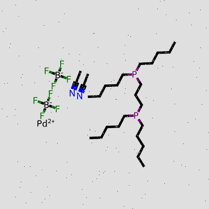 CC#N.CC#N.CCCCCP(CCCCC)CCCP(CCCCC)CCCCC.F[B-](F)(F)F.F[B-](F)(F)F.[Pd+2]